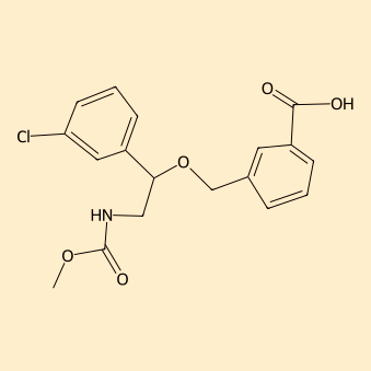 COC(=O)NCC(OCc1cccc(C(=O)O)c1)c1cccc(Cl)c1